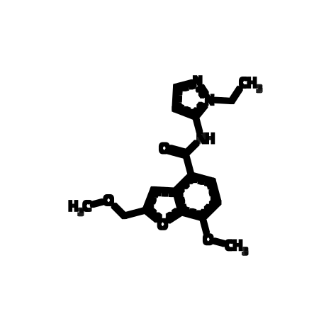 CCn1nccc1NC(=O)c1ccc(OC)c2oc(COC)cc12